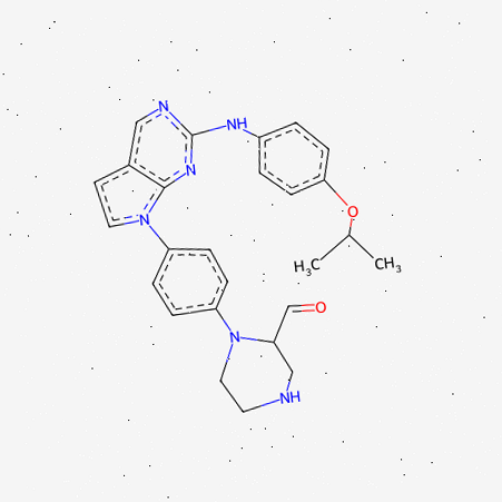 CC(C)Oc1ccc(Nc2ncc3ccn(-c4ccc(N5CCNCC5C=O)cc4)c3n2)cc1